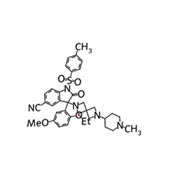 CCOc1ccc(OC)cc1C1(N2CC3(CN(C4CCN(C)CC4)C3)C2)C(=O)N(S(=O)(=O)c2ccc(C)cc2)c2ccc(C#N)cc21